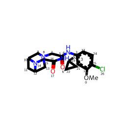 COc1cc(NC(=O)CN2CC3CC(C2)N3CC(=O)NC2(C(F)(F)F)CC2)ccc1Cl